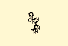 Cc1nn(C)c2ncc(-c3cncc(C(=O)N4CCCCC4)n3)cc12